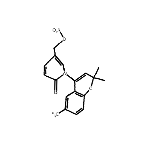 CC1(C)C=C(n2cc(CO[N+](=O)[O-])ccc2=O)c2cc(C(F)(F)F)ccc2O1